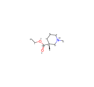 CCOC(=O)[C@]1(C)CCCN(C)C1